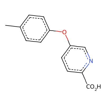 Cc1ccc(Oc2ccc(C(=O)O)nc2)cc1